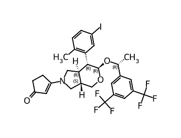 Cc1ccc(I)cc1[C@@H]1[C@@H](O[C@H](C)c2cc(C(F)(F)F)cc(C(F)(F)F)c2)OC[C@@H]2CN(C3=CC(=O)CC3)C[C@H]21